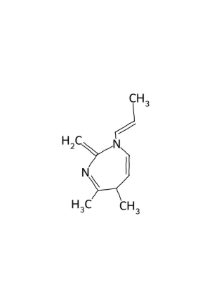 C=C1N=C(C)C(C)C=CN1/C=C/C